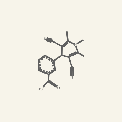 CC1=C(C#N)C(c2cccc(C(=O)O)c2)C(C#N)=C(C)N1C